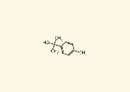 [CH2]C(C)(O)c1ccc(C)cc1